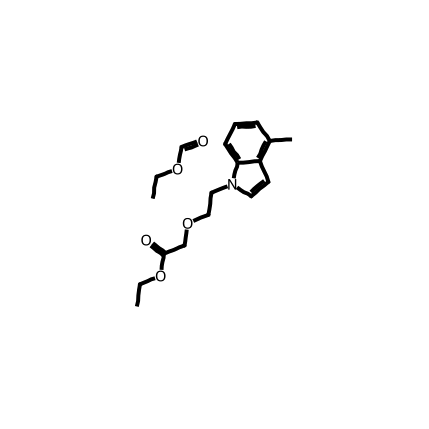 CCOC(=O)COCCn1ccc2c(C)cccc21.CCOC=O